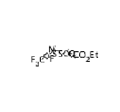 CCOC(=O)C(C)(C)Oc1ccc(SCc2sc(-c3ccc(C(F)(F)F)cc3F)nc2C)cc1C